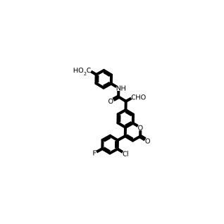 O=CC(C(=O)Nc1ccc(C(=O)O)cc1)c1ccc2c(-c3ccc(F)cc3Cl)cc(=O)oc2c1